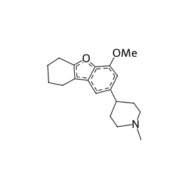 COc1cc(C2CCN(C)CC2)cc2c3c(oc12)CCCC3